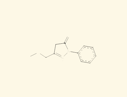 COCC1=NN(c2ccccc2)C(=O)C1